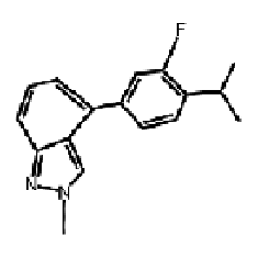 CC(C)c1ccc(-c2cccc3nn(C)cc23)cc1F